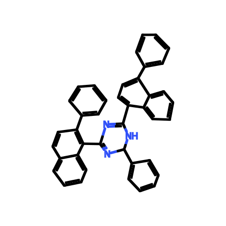 c1ccc(-c2ccc3ccccc3c2C2=NC(c3ccccc3)NC(c3ccc(-c4ccccc4)c4ccccc34)=N2)cc1